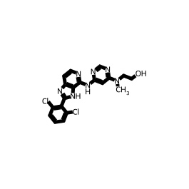 CN(CCO)c1cc(Nc2nccc3nc(-c4c(Cl)cccc4Cl)[nH]c23)ncn1